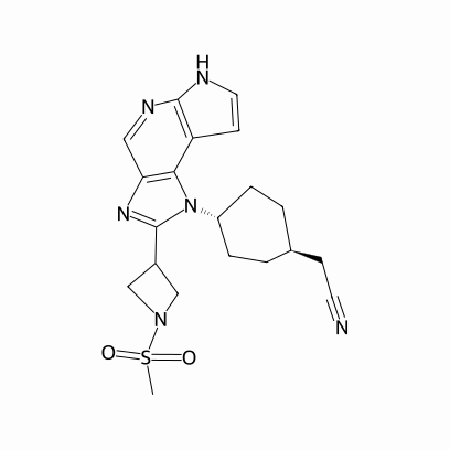 CS(=O)(=O)N1CC(c2nc3cnc4[nH]ccc4c3n2[C@H]2CC[C@H](CC#N)CC2)C1